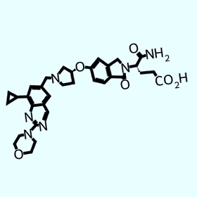 NC(=O)[C@H](CCC(=O)O)N1Cc2cc(O[C@H]3CCN(Cc4cc(C5CC5)c5nc(N6CCOCC6)ncc5c4)C3)ccc2C1=O